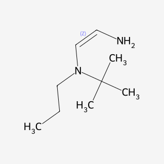 CCCN(/C=C\N)C(C)(C)C